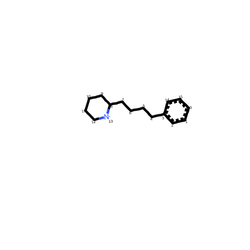 c1ccc(CCCCC2CCCC[N]2)cc1